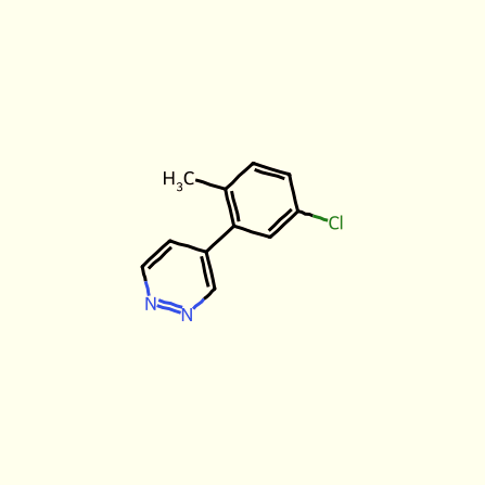 Cc1ccc(Cl)cc1-c1ccnnc1